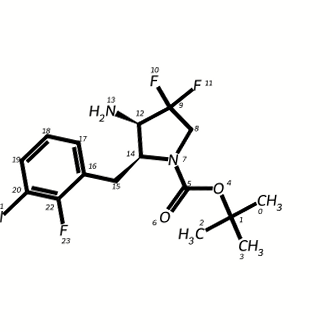 CC(C)(C)OC(=O)N1CC(F)(F)[C@H](N)[C@@H]1Cc1cccc(Cl)c1F